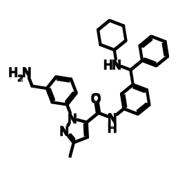 Cc1cc(C(=O)Nc2cccc(C(NC3CCCCC3)c3ccccc3)c2)n(-c2cccc(CN)c2)n1